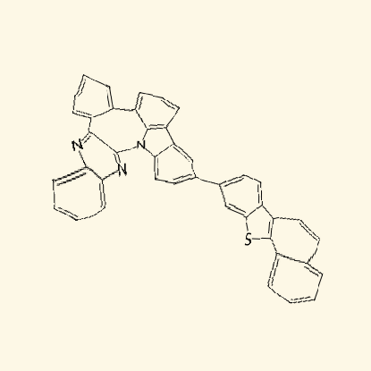 c1ccc2c(c1)-c1nc3ccccc3nc1-n1c3ccc(-c4ccc5c(c4)sc4c6ccccc6ccc54)cc3c3cccc-2c31